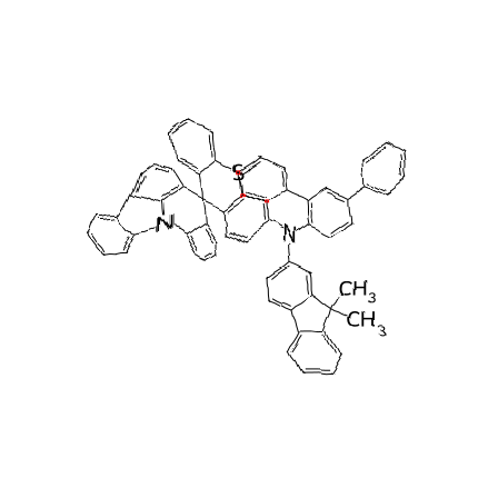 CC1(C)c2ccccc2-c2ccc(N(c3ccc4c(c3)Sc3ccccc3C43c4ccccc4-n4c5ccccc5c5cccc3c54)c3ccc(-c4ccccc4)cc3-c3ccccc3)cc21